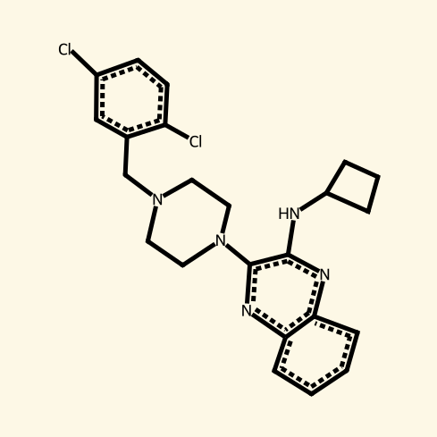 Clc1ccc(Cl)c(CN2CCN(c3nc4ccccc4nc3NC3CCC3)CC2)c1